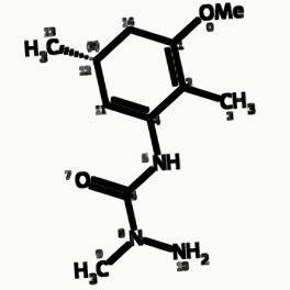 COC1=C(C)C(NC(=O)N(C)N)=C[C@H](C)C1